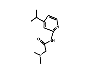 CC(C)c1ccnc(NC(=O)CN(C)C)c1